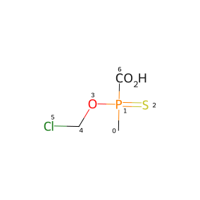 CP(=S)(OCCl)C(=O)O